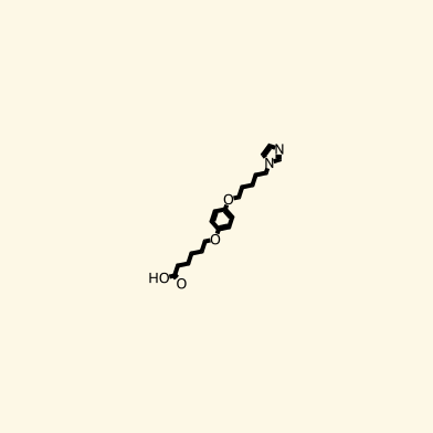 O=C(O)CCCCCOc1ccc(OCCCCCn2ccnc2)cc1